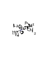 C=C(CCN(CC)C(C)C)c1ccc(/C(=C(/CCCO)c2ccccc2)c2ccc(O)cc2)cc1